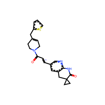 O=C(/C=C/c1cnc2c(c1)CC1(CC1)C(=O)N2)N1CC=C(Cc2cccs2)CC1